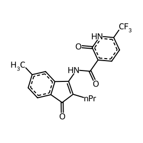 CCCC1=C(NC(=O)c2ccc(C(F)(F)F)[nH]c2=O)c2cc(C)ccc2C1=O